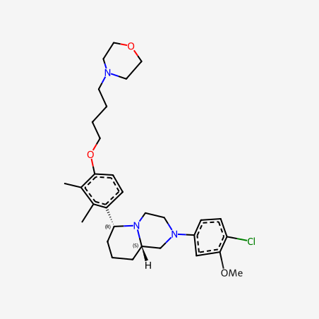 COc1cc(N2CCN3[C@@H](CCC[C@@H]3c3ccc(OCCCCN4CCOCC4)c(C)c3C)C2)ccc1Cl